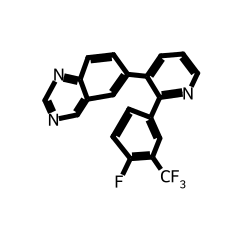 Fc1ccc(-c2ncccc2-c2ccc3ncncc3c2)cc1C(F)(F)F